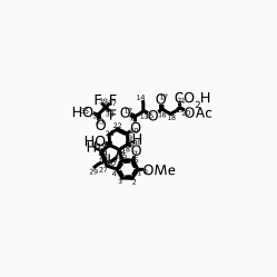 COc1ccc2c3c1O[C@H]1C(OC(=O)C(C)OC(=O)CC(OC(C)=O)C(=O)O)=CC[C@@]4(O)[C@@H](C2)N(C)CC[C@]314.O=C(O)C(F)(F)F